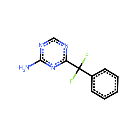 Nc1ncnc(C(F)(F)c2ccccc2)n1